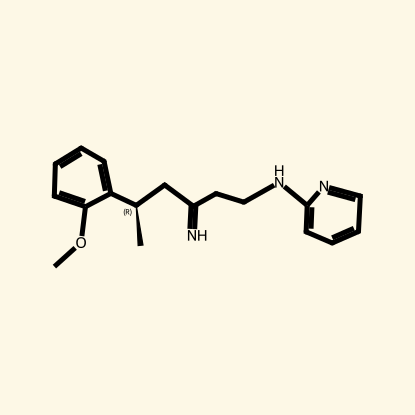 COc1ccccc1[C@H](C)CC(=N)CCNc1ccccn1